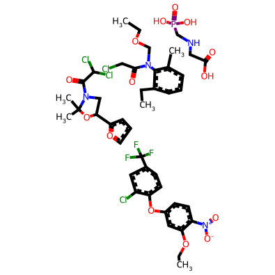 CC1(C)OC(c2ccco2)CN1C(=O)C(Cl)Cl.CCOCN(C(=O)CCl)c1c(C)cccc1CC.CCOc1cc(Oc2ccc(C(F)(F)F)cc2Cl)ccc1[N+](=O)[O-].O=C(O)CNCP(=O)(O)O